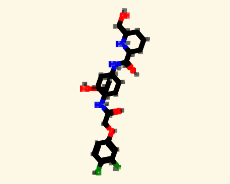 O=C(COc1ccc(Cl)c(F)c1)NC12CCC(NC(=O)C3CCCC(CO)N3)(CC1)CC2O